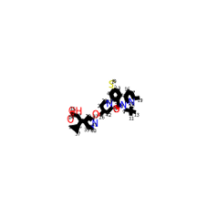 CSc1ccc(C(=O)N(CC(C)(C)C)c2cccc(C)n2)c(N2CCC(COc3cc(C(CC(=O)O)C4CC4)ccn3)CC2)c1